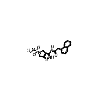 NS(=O)(=O)N1Cc2n[nH]c(NC(=O)Cc3cccc4ccccc34)c2C1